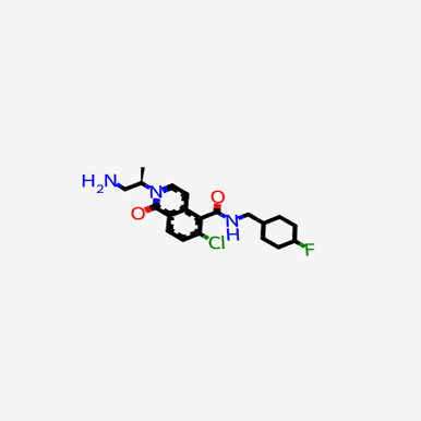 C[C@H](CN)n1ccc2c(C(=O)NCC3CCC(F)CC3)c(Cl)ccc2c1=O